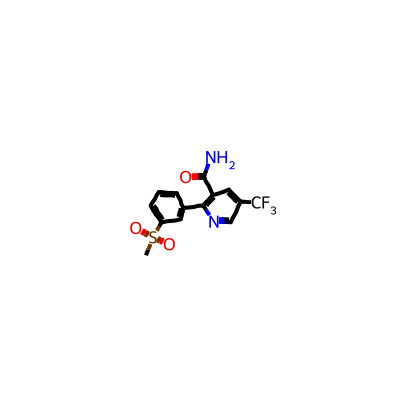 CS(=O)(=O)c1cccc(-c2ncc(C(F)(F)F)cc2C(N)=O)c1